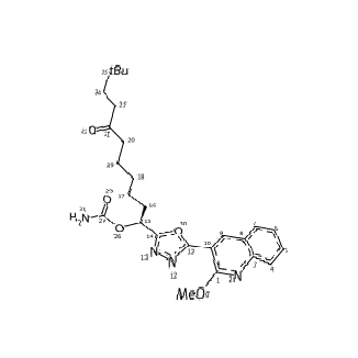 COc1nc2ccccc2cc1-c1nnc([C@H](CCCCCC(=O)CCC(C)(C)C)OC(N)=O)o1